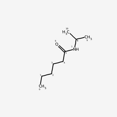 CCCCCC(=O)NC(C)C